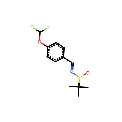 CC(C)(C)[S+]([O-])N=Cc1ccc(OC(F)F)cc1